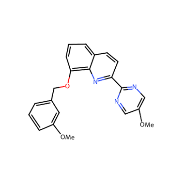 COc1cnc(-c2ccc3cccc(OCc4cccc(OC)c4)c3n2)nc1